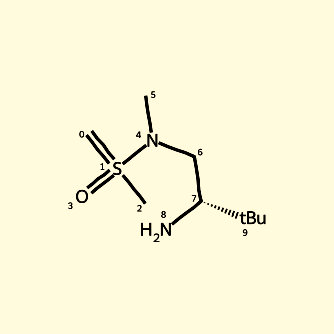 C=S(C)(=O)N(C)C[C@@H](N)C(C)(C)C